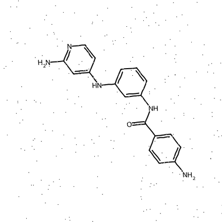 Nc1ccc(C(=O)Nc2cccc(Nc3ccnc(N)c3)c2)cc1